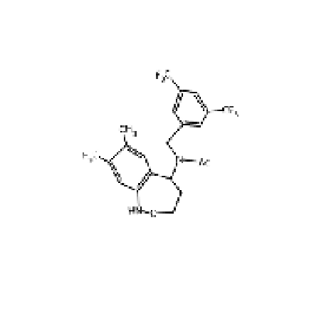 CC(=O)N(Cc1cc(C(F)(F)F)cc(C(F)(F)F)c1)C1CCCNc2cc(C(F)(F)F)c(C)cc21